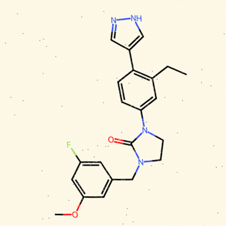 CCc1cc(N2CCN(Cc3cc(F)cc(OC)c3)C2=O)ccc1-c1cn[nH]c1